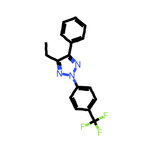 CCc1nn(-c2ccc(C(F)(F)F)cc2)nc1-c1ccccc1